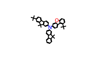 CC(C)(C)c1ccc2c(c1)C(C)(C)c1cc(N(c3ccc4c(c3)C(C)(C)c3ccccc3-4)c3ccc4c(c3)oc3cccc(C(C)(C)C)c34)ccc1-2